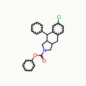 O=C(Oc1ccccc1)N1CC2Cc3ccc(Cl)cc3C(c3ccccc3)C2C1